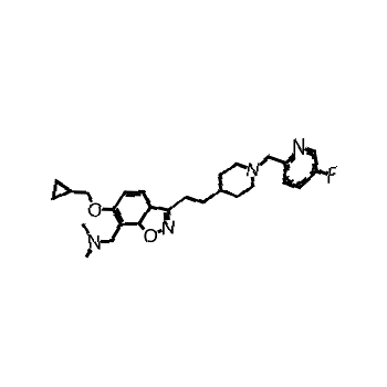 CN(C)CC1=C(OCC2CC2)C=CC2C(CCC3CCN(Cc4ccc(F)cn4)CC3)=NOC12